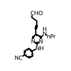 CCCNc1nc(Nc2ccc(C#N)cc2)ncc1C#CCCC=O